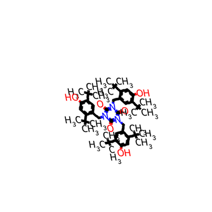 CC(C)(C)c1cc(Cn2c(=O)n(Cc3cc(C(C)(C)C)c(O)cc3C(C)(C)C)c(=O)n(Cc3cc(C(C)(C)C)c(O)cc3C(C)(C)C)c2=O)c(C(C)(C)C)cc1O